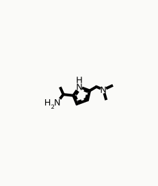 CC(N)c1ccc(CN(C)C)[nH]1